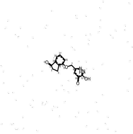 O=C1CCc2c(OCc3cc(=O)c(O)n[nH]3)cccc21